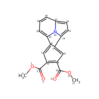 COC(=O)c1cc2c(cc1C(=O)OC)c1ccc3cccc2n31